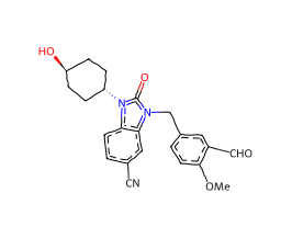 COc1ccc(Cn2c(=O)n([C@H]3CC[C@H](O)CC3)c3ccc(C#N)cc32)cc1C=O